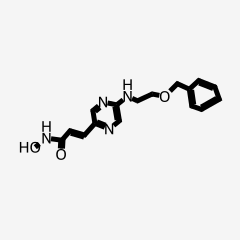 O=C(/C=C/c1cnc(NCCOCc2ccccc2)cn1)NO